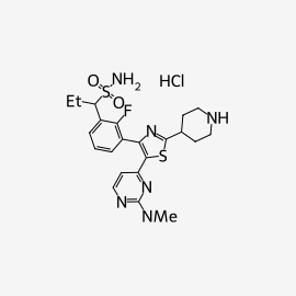 CCC(c1cccc(-c2nc(C3CCNCC3)sc2-c2ccnc(NC)n2)c1F)S(N)(=O)=O.Cl